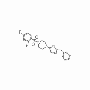 O=S(=O)(c1ccc(F)cc1F)N1CCN(c2nc(Cc3ccccc3)cs2)CC1